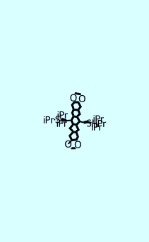 CC(C)[Si](C#Cc1c2cc3cc4c(cc3cc2c(C#C[Si](C(C)C)(C(C)C)C(C)C)c2cc3cc5c(cc3cc12)OC=CO5)OC=CO4)(C(C)C)C(C)C